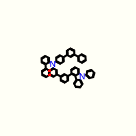 c1ccc(-c2cccc(-c3ccc(N(c4cccc(-c5cccc(-c6cccc7c6c6ccccc6n7-c6ccccc6)c5)c4)c4ccccc4-c4ccccc4)cc3)c2)cc1